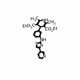 CCOC(=O)C1=C(C)NC(C)=C(C(=O)OCC)C1c1cccc(Nc2nc(-c3cccnc3)cs2)c1